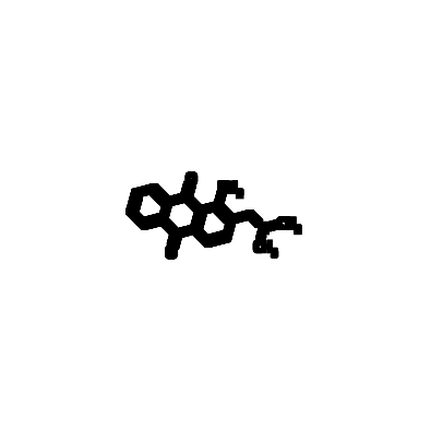 CN(C)Cc1ccc2c(c1N)C(=O)c1ccccc1C2=O